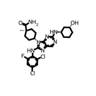 C[C@]1(C(N)=O)CC[C@H](n2c(Nc3c(F)cc(Cl)cc3Cl)nc3cnc(N[C@@H]4CCC[C@@H](O)C4)nc32)CC1